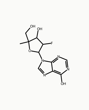 CC1(CO)OC(n2cnc3c(O)ncnc32)C(F)C1O